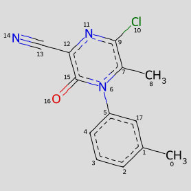 Cc1cccc(-n2c(C)c(Cl)nc(C#N)c2=O)c1